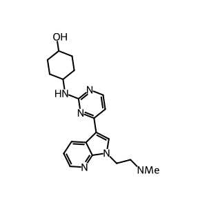 CNCCn1cc(-c2ccnc(NC3CCC(O)CC3)n2)c2cccnc21